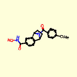 COc1ccc(C(=O)N2C3CCC2c2cc(C(=O)NO)ccc23)cc1